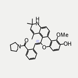 COc1c(O)ccc2c1-c1ccc3c(c1/C(=C/c1ccccc1C(=O)N1CCCC1)O2)C(C)=CC(C)(C)N3